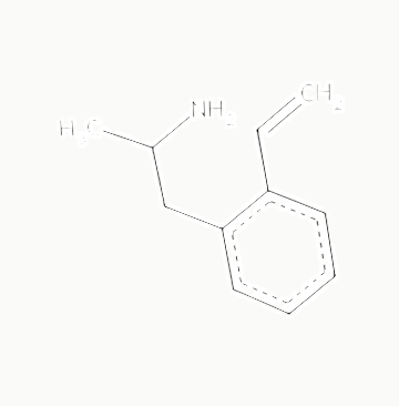 C=Cc1ccccc1CC(C)N